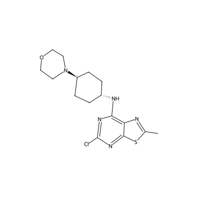 Cc1nc2c(N[C@H]3CC[C@H](N4CCOCC4)CC3)nc(Cl)nc2s1